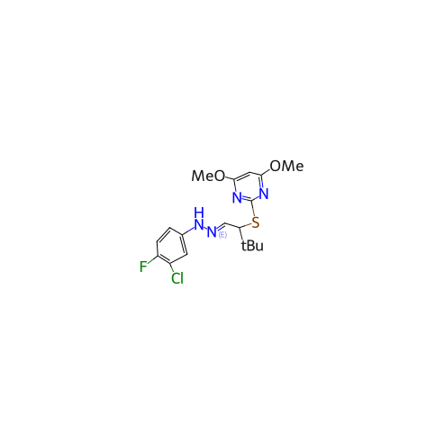 COc1cc(OC)nc(SC(/C=N/Nc2ccc(F)c(Cl)c2)C(C)(C)C)n1